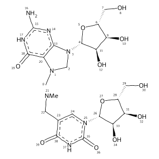 CN1CN([C@@H]2O[C@H](CO)[C@@H](O)[C@H]2O)c2nc(N)[nH]c(=O)c21.CNCc1cn([C@@H]2O[C@H](CO)[C@@H](O)[C@H]2O)c(=O)[nH]c1=O